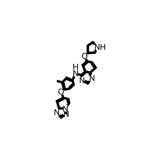 Cc1cc(Nc2ncnc3ccc(O[C@H]4CCNC4)cc23)ccc1Oc1ccn2ncnc2c1